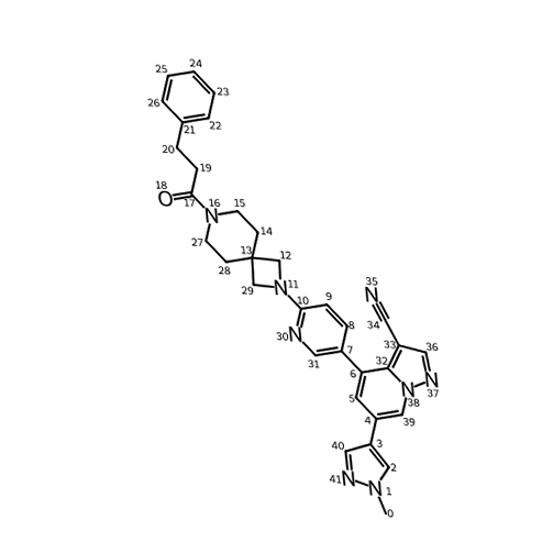 Cn1cc(-c2cc(-c3ccc(N4CC5(CCN(C(=O)CCc6ccccc6)CC5)C4)nc3)c3c(C#N)cnn3c2)cn1